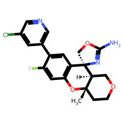 C[C@]12CCOC[C@@H]1[C@@]1(COC(N)=N1)c1cc(-c3cncc(Cl)c3)c(F)cc1O2